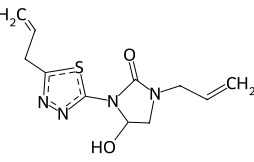 C=CCc1nnc(N2C(=O)N(CC=C)CC2O)s1